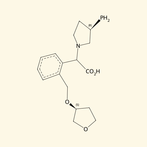 O=C(O)C(c1ccccc1CO[C@H]1CCOC1)N1CC[C@@H](P)C1